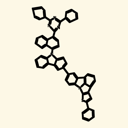 c1ccc(-c2nc(-c3ccccc3)nc(-c3ccc(-n4c5ccccc5c5cc(-c6ccc7c(c6)c6cccc8c9cc(-c%10ccccc%10)sc9n7c68)ccc54)c4ccccc34)n2)cc1